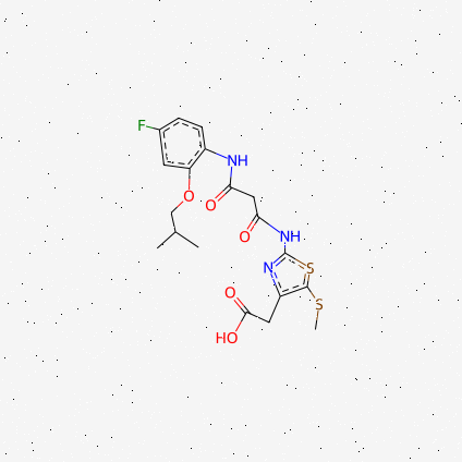 CSc1sc(NC(=O)CC(=O)Nc2ccc(F)cc2OCC(C)C)nc1CC(=O)O